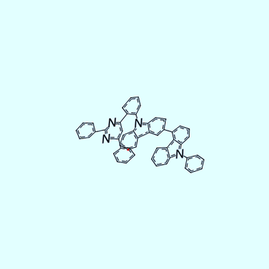 c1ccc(-c2cc(-c3ccccc3-n3c4ccccc4c4cc(-c5cccc6c5c5ccccc5n6-c5ccccc5)ccc43)nc(-c3ccccc3)n2)cc1